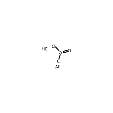 Cl.[Al].[O]=[Zr]([Cl])[Cl]